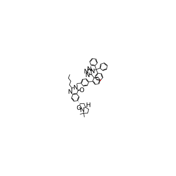 CCCCc1nc2ccc([C@@H]3C[C@H]4CCC(C)(C)N4O3)cc2c(=O)n1Cc1ccc(-c2ccccc2-c2nnnn2C(c2ccccc2)(c2ccccc2)c2ccccc2)cc1